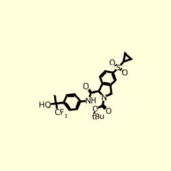 CC(C)(C)OC(=O)N1Cc2cc(S(=O)(=O)C3CC3)ccc2C1C(=O)Nc1ccc(C(C)(O)C(F)(F)F)cc1